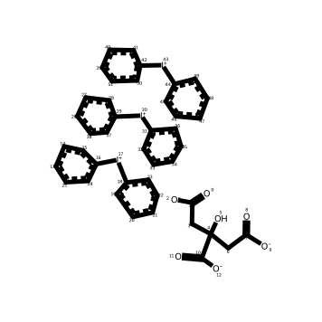 O=C([O-])CC(O)(CC(=O)[O-])C(=O)[O-].c1ccc([I+]c2ccccc2)cc1.c1ccc([I+]c2ccccc2)cc1.c1ccc([I+]c2ccccc2)cc1